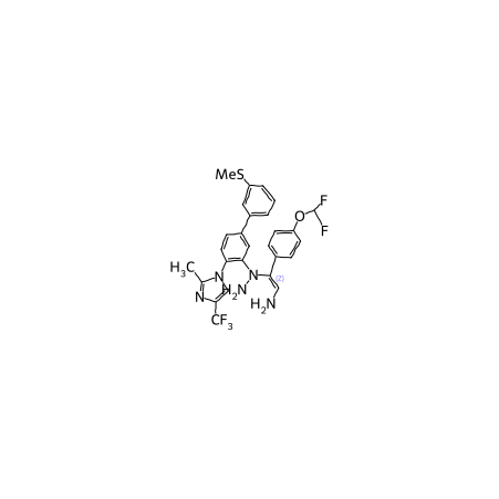 CSc1cccc(-c2ccc(-n3cc(C(F)(F)F)nc3C)c(N(N)/C(=C\N)c3ccc(OC(F)F)cc3)c2)c1